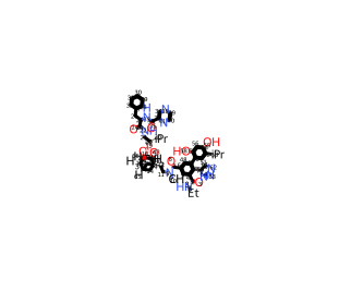 CCNC(=O)c1cc(C(=O)N(C)CC[C@@]23C[C@H](C[C@@H]4OB([C@H](CNC(=O)C(Cc5ccccc5)NC(=O)c5cnccn5)C(C)C)O[C@@H]42)C3(C)C)cc(-c2cc(C(C)C)c(O)cc2O)c1[C@@H]1C=NN=N1